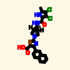 Cc1[nH]c(C(=O)N[C@@H]2[C@@H]3CN(c4nc(-c5ccc6ccccc6c5)c(C(=O)O)s4)C[C@@H]32)c(Cl)c1Cl